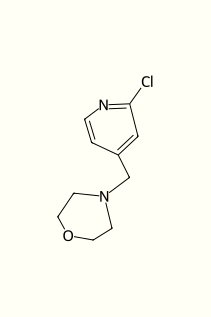 Clc1cc(CN2CCOCC2)ccn1